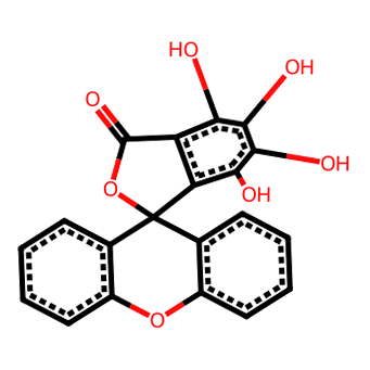 O=C1OC2(c3ccccc3Oc3ccccc32)c2c(O)c(O)c(O)c(O)c21